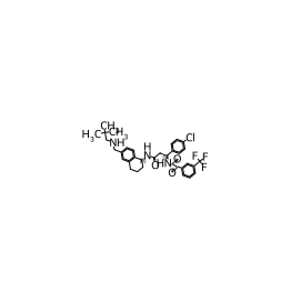 CC(C)(C)CNCc1ccc2c(c1)CCC[C@H]2NC(=O)C[C@H](NS(=O)(=O)c1cccc(C(F)(F)F)c1)c1ccc(Cl)cc1